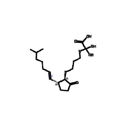 CC(C)CCC/C=C/[C@H]1CCC(=O)[C@@H]1SCCCSC(O)(O)C(=O)O